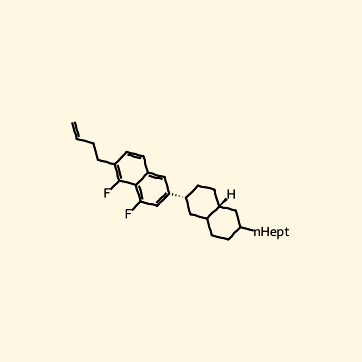 C=CCCc1ccc2cc([C@@H]3CC[C@@H]4CC(CCCCCCC)CCC4C3)cc(F)c2c1F